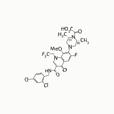 COc1c(N2C[C@@H](C)N(C(=O)C(=O)O)[C@@H](C)C2)c(F)cc2c(=O)c(C(=O)NCc3ccc(Cl)cc3Cl)cn(CC(F)(F)F)c12